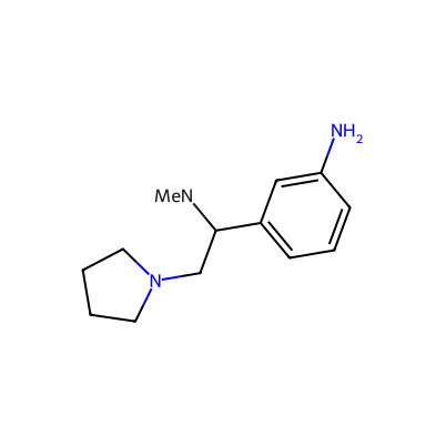 CNC(CN1CCCC1)c1cccc(N)c1